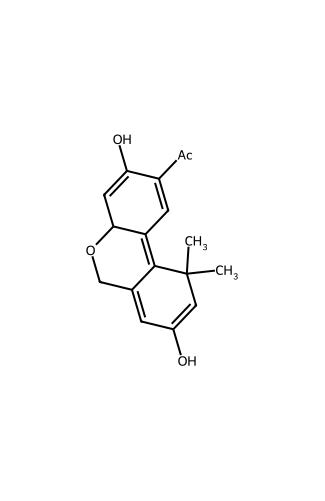 CC(=O)C1=CC2=C3C(=CC(O)=CC3(C)C)COC2C=C1O